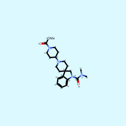 COC(=O)N1CCC(N2CCC3(CC2)CN(C(=O)N(C)C)c2ccccc23)CC1